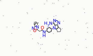 CC(C)c1noc(CC(=O)Nc2ccc(-n3c4c(c5ncnc(N)c53)CCC4)cc2)n1